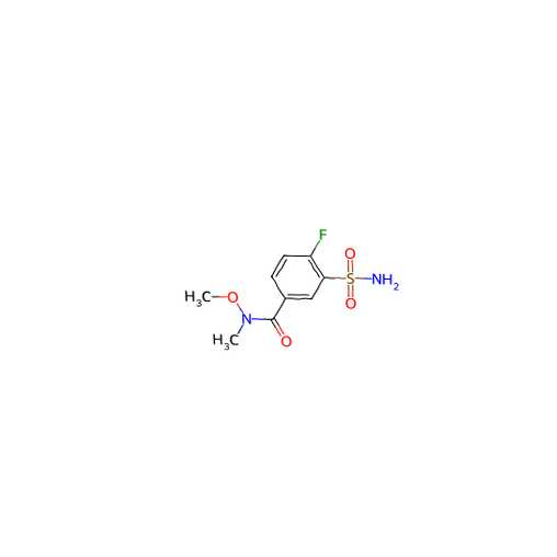 CON(C)C(=O)c1ccc(F)c(S(N)(=O)=O)c1